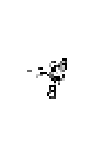 CCCCC1CN(C(=O)[C@H](Cc2ccccc2)N=O)Cc2c1nc(-c1ccc(Cl)cc1)[nH]c2=O